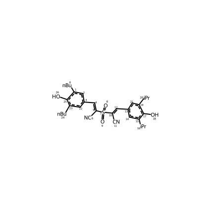 CCCCc1cc(/C=C(\C#N)S(=O)(=O)/C(C#N)=C/c2cc(C(C)C)c(O)c(C(C)C)c2)cc(CCCC)c1O